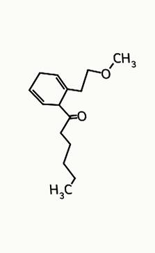 CCCCCC(=O)C1C=CCC=C1CCOC